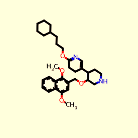 COc1cc(COC2CNCCC2C2=CN=C(OCCCC3CCCCC3)CC2)c(OC)c2ccccc12